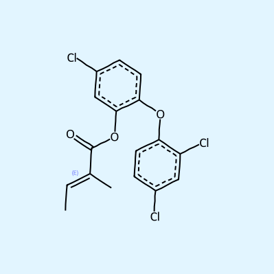 C/C=C(\C)C(=O)Oc1cc(Cl)ccc1Oc1ccc(Cl)cc1Cl